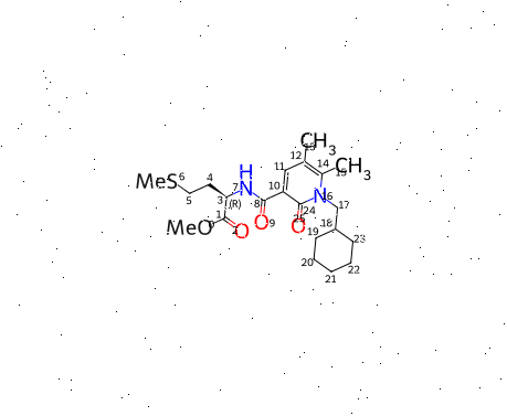 COC(=O)[C@@H](CCSC)NC(=O)c1cc(C)c(C)n(CC2CCCCC2)c1=O